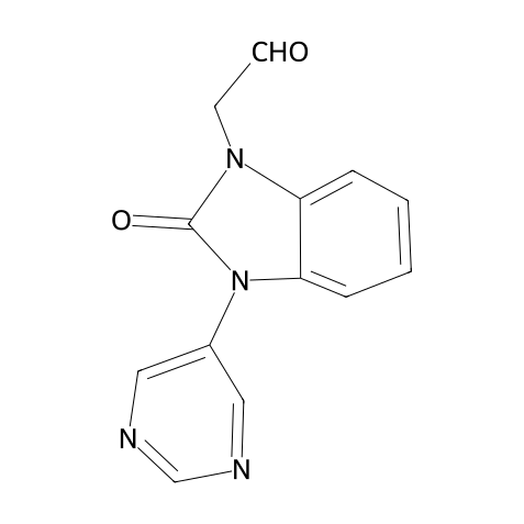 O=CCn1c(=O)n(-c2cncnc2)c2ccccc21